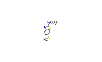 CN(C(=O)O)c1nc2ccc(SC#N)cc2s1